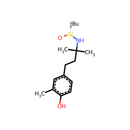 Cc1cc(CCC(C)(C)N[S@+]([O-])C(C)(C)C)ccc1O